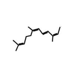 [CH2]C=C(C)C=CC=C(C)CCC=C(C)C